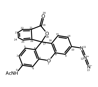 CC(=O)Nc1ccc2c(c1)Oc1cc(N=[N+]=[N-])ccc1C21OC(=O)c2ccccc21